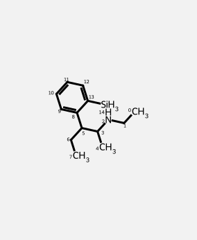 CCNC(C)C(CC)c1ccccc1[SiH3]